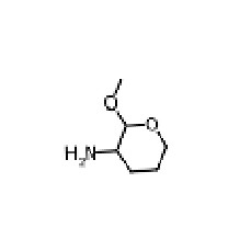 COC1OCCCC1N